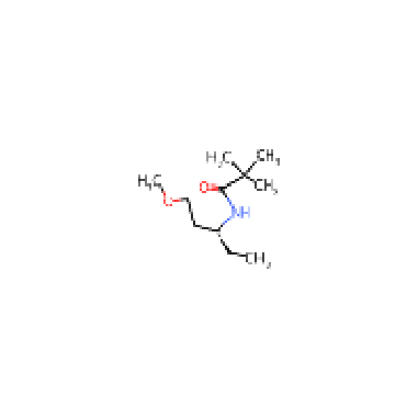 CC[C@@H](CCOC)NC(=O)C(C)(C)C